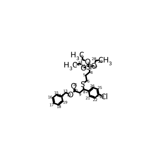 CCO[Si](CCCSC(CC(=O)OCc1ccccc1)c1ccc(Cl)cc1)(OCC)OCC